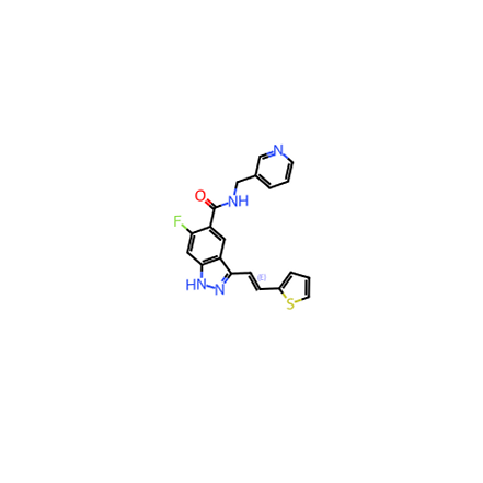 O=C(NCc1cccnc1)c1cc2c(/C=C/c3cccs3)n[nH]c2cc1F